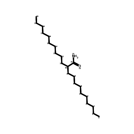 CCCCCCCCCCC(CCCCCCCCCC)C(N)=O